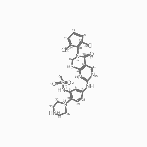 CS(=O)(=O)Nc1cc(Nc2ncc3c(n2)SCN(c2c(Cl)cccc2Cl)C3=O)ccc1N1CCNCC1